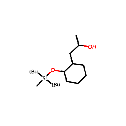 CC(O)CC1CCCCC1O[Si](C)(C(C)(C)C)C(C)(C)C